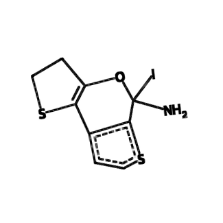 NC1(I)OC2=C(SCC2)c2ccsc21